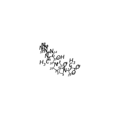 CC1=C(N2CCC3(CCN(C[C@@H](O)c4cnc(-n5cnnn5)nc4C)CC3)C2=O)COC1=O